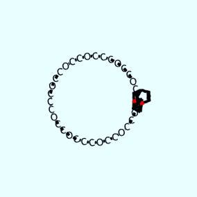 C1=CC2=CC=C1C21COCCOCCCOCCOCCOCCCOCCOCCCOCCOCCOC12C1=CC=C2C=C1